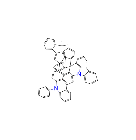 CC1(C)c2ccccc2-c2cc(-c3ccc(N(c4ccccc4)c4ccccc4-c4ccc5c(c4)-n4c6ccccc6c6cccc(c64)C54c5ccccc5-c5ccccc54)cc3)ccc21